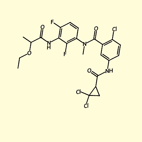 CCOC(C)C(=O)Nc1c(F)ccc(N(C)C(=O)c2cc(NC(=O)C3CC3(Cl)Cl)ccc2Cl)c1F